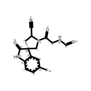 N#CC1C[C@@]2(CN1C(=O)CNC=O)C(=O)Nc1ccc(F)cc12